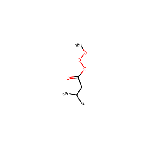 CCCCOOOC(=O)CC(CC)CCCC